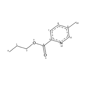 CCCOC(=O)c1ccc(C)cn1